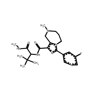 CNC(=O)C(NC(=O)c1nc(-c2cncc(F)c2)n2c1CN(C)CCC2)C(C)(C)C